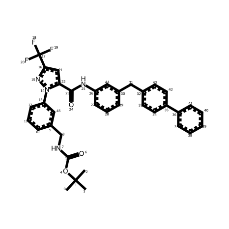 CC(C)(C)OC(=O)NCc1cccc(-n2nc(C(F)(F)F)cc2C(=O)Nc2cccc([CH]c3ccc(-c4ccccc4)cc3)c2)c1